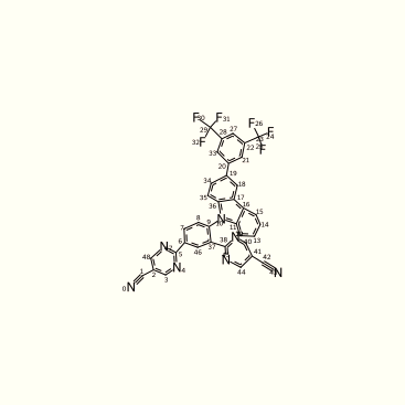 N#Cc1cnc(-c2ccc(-n3c4ccccc4c4cc(-c5cc(C(F)(F)F)cc(C(F)(F)F)c5)ccc43)c(-c3ncc(C#N)cn3)c2)nc1